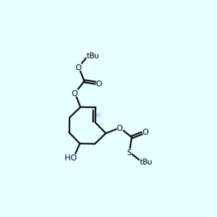 CC(C)(C)OC(=O)OC1/C=C/C(OC(=O)SC(C)(C)C)CC(O)CC1